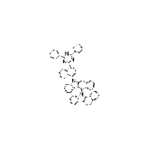 c1ccc(-c2nc(-c3ccccc3)nc(-c3ccc(-n4c5ccccc5c5c(-n6c7ccccc7c7ccc8ccccc8c76)c6ccccc6cc54)c4ccccc34)n2)cc1